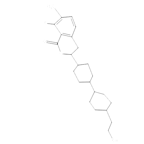 CCCC1CCC(C2CCC(C3Cc4ccc(C)c(F)c4C(=O)O3)CC2)CC1